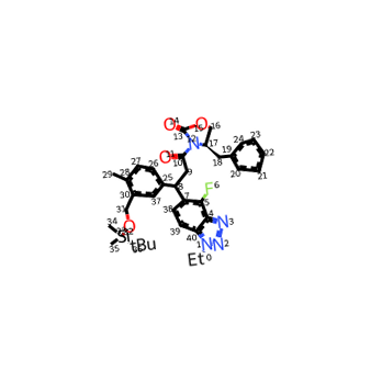 CCn1nnc2c(F)c(C(CC(=O)N3C(=O)OC[C@H]3Cc3ccccc3)c3ccc(C)c(CO[Si](C)(C)C(C)(C)C)c3)ccc21